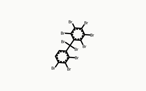 Brc1ccc(C(Br)(Br)c2c(Br)c(Br)c(Br)c(Br)c2Br)c(Br)c1Br